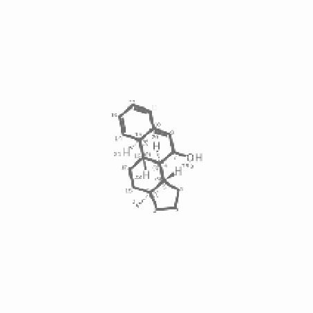 C[C@@]12CCC[C@H]1[C@@H]1C(O)C=C3C=CC=C[C@@H]3[C@H]1CC2